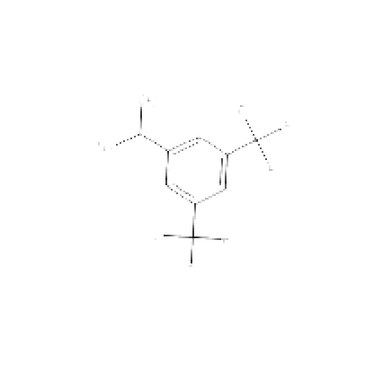 CC(S)c1cc(C(F)(F)F)cc(C(F)(F)F)c1